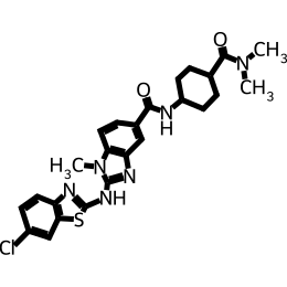 CN(C)C(=O)C1CCC(NC(=O)c2ccc3c(c2)nc(Nc2nc4ccc(Cl)cc4s2)n3C)CC1